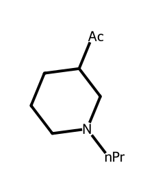 CCCN1CCCC(C(C)=O)C1